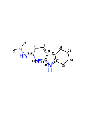 CC(C)NC1CC=c2c3c([nH]c2=N1)CCCC3